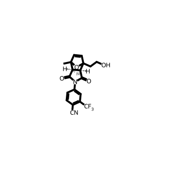 CC12C=CC(CCO)(O1)[C@H]1C(=O)N(c3ccc(C#N)c(C(F)(F)F)c3)C(=O)[C@H]12